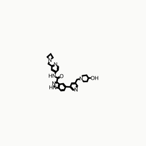 O=C(Nc1ccnc(CN2CCC2)c1)c1n[nH]c2ccc(-c3cncc(CN4CCC(O)CC4)c3)cc12